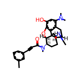 Cc1cccc(C#CC(=O)N(C)[C@H]2CC[C@H]3[C@H]4Cc5c(N(C)C)cc(O)c6c5[C@@]3(CCN4C)[C@H]2O6)c1